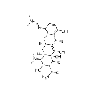 CN(C)/C=N/c1ccc(O)c2c1C[C@H]1C[C@H]3[C@H](N(C)C)C(O)=C(C(N)=O)C(=O)[C@@]3(O)C(O)=C1C2=O